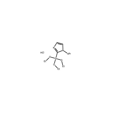 CCCn1ccnc1[Si](OCC)(OCC)OCC.Cl